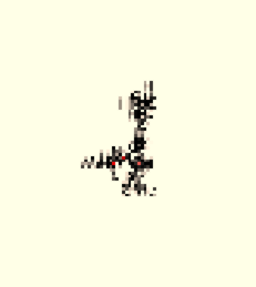 C=CC(=O)Nc1cc(C(=O)NCCOCCOCCN2C(=O)CC(SC(C)(C)CC(=O)N(C)[C@@H](C)C(=O)O[C@H]3CC(=O)N(C)c4cc(cc(OC)c4Cl)C/C(C)=C/C=C/[C@@H](OC)[C@@]4(O)C[C@H](OC(=O)N4)[C@@H](C)C[C@@]3(C)O)C2=O)cc(NC(=O)C=C)n1